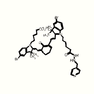 CC1(C)C(=CC=C2CCCC(C=CC3=[N+](CCCCCC(=O)NNCc4ccncc4)c4ccc(Br)cc4C3(C)C)=C2Cl)N(CCCCCC(=O)O)c2ccc(Br)cc21